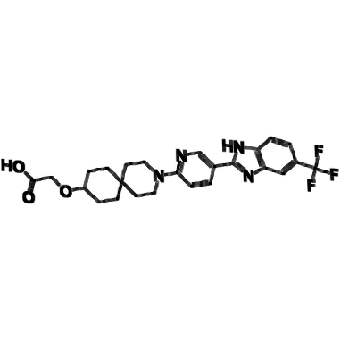 O=C(O)COC1CCC2(CC1)CCN(c1ccc(-c3nc4cc(C(F)(F)F)ccc4[nH]3)cn1)CC2